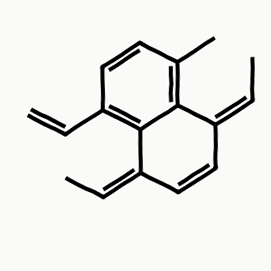 C=Cc1ccc(C)c2/c(=C\C)cc/c(=C/C)c12